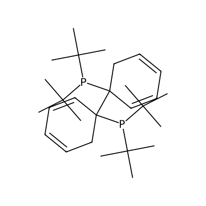 CC(C)(C)P(C(C)(C)C)C1(C2(P(C(C)(C)C)C(C)(C)C)C=CC=CC2)C=CC=CC1